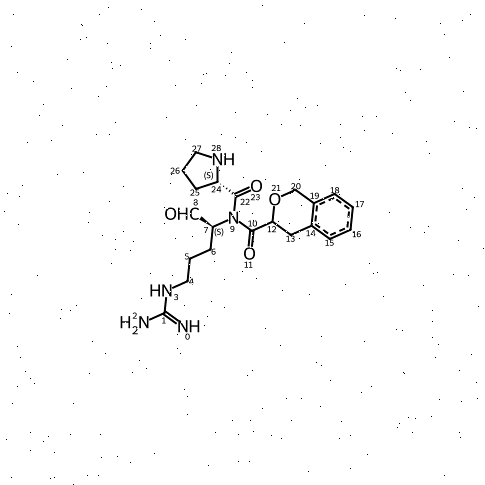 N=C(N)NCCC[C@@H](C=O)N(C(=O)C1Cc2ccccc2CO1)C(=O)[C@@H]1CCCN1